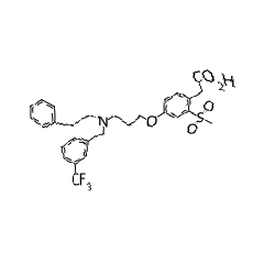 CS(=O)(=O)c1cc(OCCCN(CCc2ccccc2)Cc2cccc(C(F)(F)F)c2)ccc1CC(=O)O